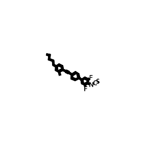 CCCCCc1ccc(C#Cc2ccc(-c3cc(F)c(N=C=S)c(F)c3)cc2)c(C)c1